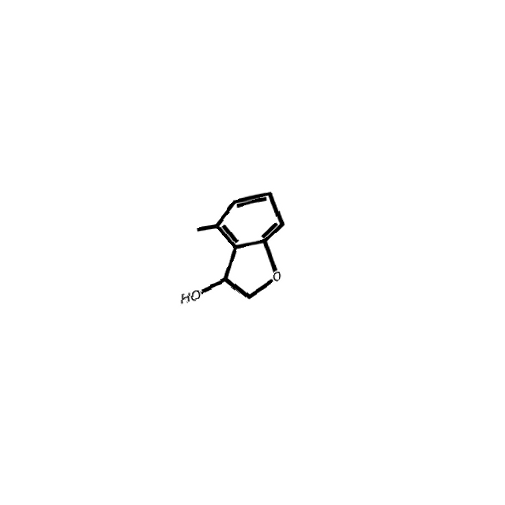 Cc1cccc2c1C(O)CO2